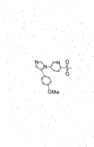 COc1ccc(-c2cncn2-c2ccc(S(C)(=O)=O)nc2)cc1